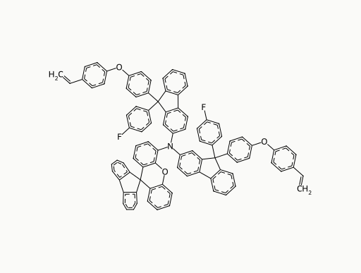 C=Cc1ccc(Oc2ccc(C3(c4ccc(F)cc4)c4ccccc4-c4ccc(N(c5ccc6c(c5)C(c5ccc(F)cc5)(c5ccc(Oc7ccc(C=C)cc7)cc5)c5ccccc5-6)c5cccc6c5Oc5ccccc5C65c6ccccc6-c6ccccc65)cc43)cc2)cc1